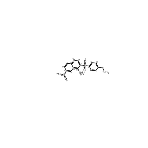 CCc1ccc(S(=O)(=O)c2cnc3ccc([N+](=O)[O-])cc3c2N)cc1